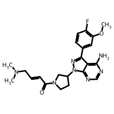 COc1cc(-c2nn(C3CCN(C(=O)/C=C/CN(C)C)C3)c3ncnc(N)c23)ccc1F